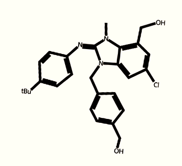 Cn1/c(=N/c2ccc(C(C)(C)C)cc2)n(Cc2ccc(CO)cc2)c2cc(Cl)cc(CO)c21